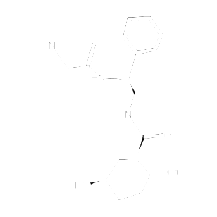 CC(C)[C@@H]1CC[C@@H](C)C[C@H]1C(=O)NC[C@@H](NC(=O)CN)c1ccccc1